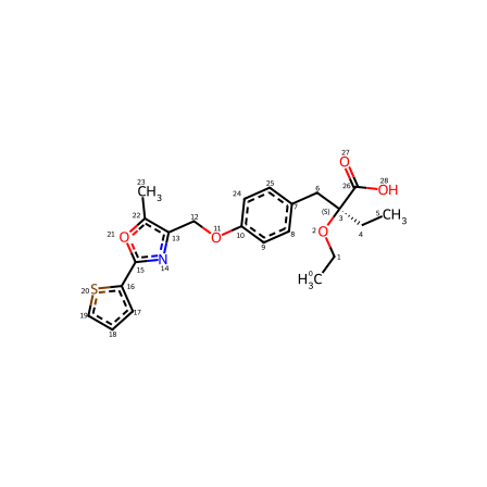 CCO[C@@](CC)(Cc1ccc(OCc2nc(-c3cccs3)oc2C)cc1)C(=O)O